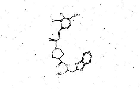 CSc1ccc(/C=C/C(=O)N2CCC(C(=O)NC(Cc3nc4ccccc4o3)C(=O)O)CC2)c(Cl)c1Cl